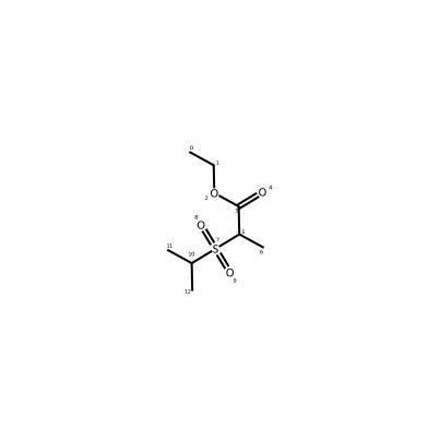 CCOC(=O)C(C)S(=O)(=O)C(C)C